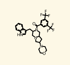 O=C(c1cc(C(F)(F)F)cc(C(F)(F)F)c1)N1CC2CC(N3CCOCC3)CN2CC1Cc1c[nH]c2ccccc12